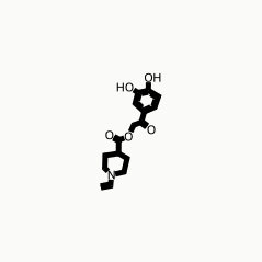 C=CN1CCC(C(=O)OCC(=O)c2ccc(O)c(O)c2)CC1